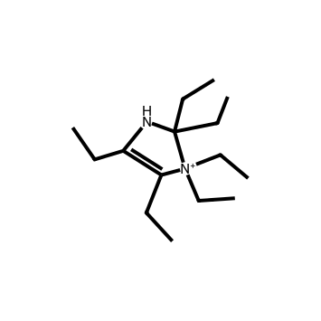 CCC1=C(CC)[N+](CC)(CC)C(CC)(CC)N1